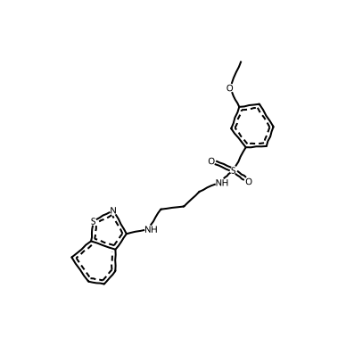 COc1cccc(S(=O)(=O)NCCCNc2nsc3ccccc23)c1